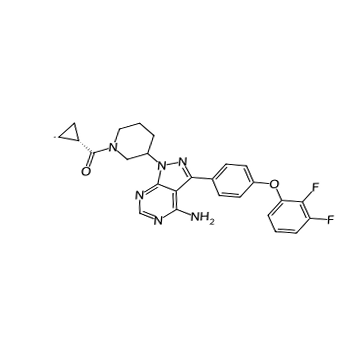 Nc1ncnc2c1c(-c1ccc(Oc3cccc(F)c3F)cc1)nn2C1CCCN(C(=O)[C@@H]2[CH]C2)C1